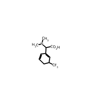 CN(C)C(C(=O)O)C1=CC(C(F)(F)F)CC=C1